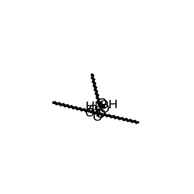 CCCCCCCCCCCCCCCCCCOC(=O)CC(SC[C@H](NC(=O)CCCCCCCCCCCCCCC)C(=O)O)C(=O)OCCCCCCCCCCCCCCCCCC